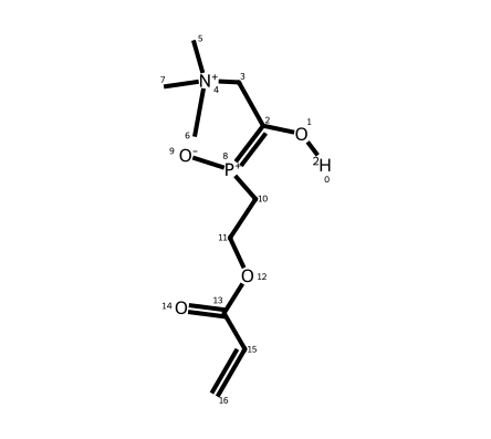 [2H]OC(C[N+](C)(C)C)=[P+]([O-])CCOC(=O)C=C